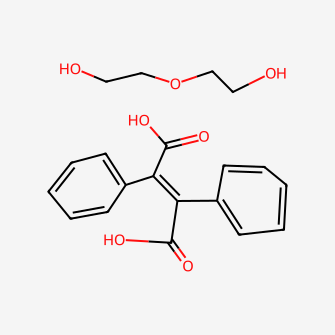 O=C(O)C(=C(C(=O)O)c1ccccc1)c1ccccc1.OCCOCCO